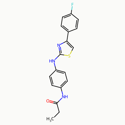 CCC(=O)Nc1ccc(Nc2nc(-c3ccc(F)cc3)cs2)cc1